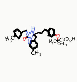 Cc1ccc(CN2NC(CCCc3ccc(OC(C)(C)C(=O)O)cc3)(Cc3ccc(C)cc3)NC2=O)cc1